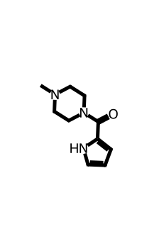 CN1CCN(C(=O)c2ccc[nH]2)CC1